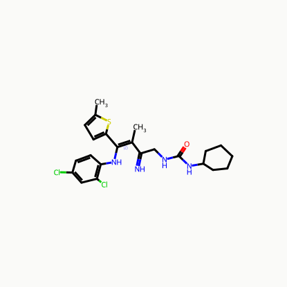 C/C(C(=N)CNC(=O)NC1CCCCC1)=C(/Nc1ccc(Cl)cc1Cl)c1ccc(C)s1